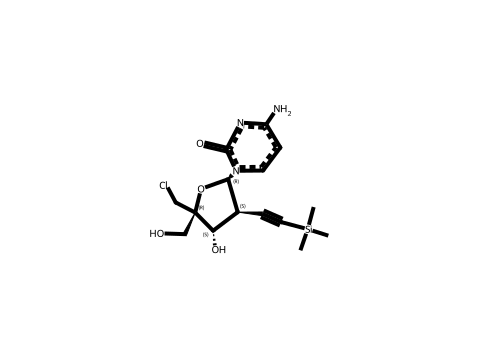 C[Si](C)(C)C#C[C@@H]1[C@H](n2ccc(N)nc2=O)O[C@@](CO)(CCl)[C@H]1O